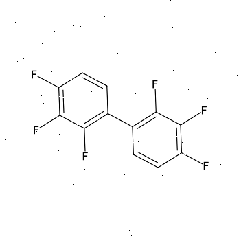 Fc1ccc(-c2ccc(F)c(F)c2F)c(F)c1F